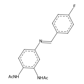 CC(=O)Nc1ccc(N=Cc2ccc(F)cc2)cc1NC(C)=O